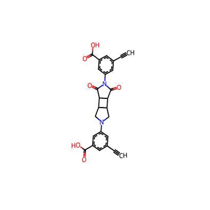 C#Cc1cc(C(=O)O)cc(N2CC3C(C2)C2C(=O)N(c4cc(C#C)cc(C(=O)O)c4)C(=O)C32)c1